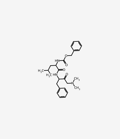 CC(C)CC(NC(=O)OCc1ccccc1)C(=O)NC(Cc1ccccc1)C(=O)CN(C)C